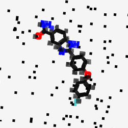 NC(=O)c1ccc2[nH]c(-c3ccc(Oc4ccc(F)cc4)cc3)nc2c1